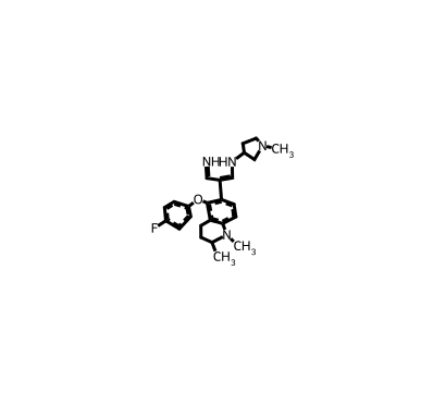 CC1CCc2c(ccc(/C(C=N)=C/NC3CCN(C)C3)c2Oc2ccc(F)cc2)N1C